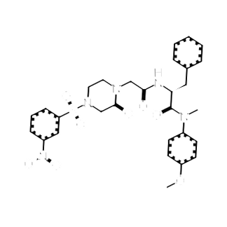 COc1ccc(N(C)C(=O)[C@H](Cc2ccccc2)NC(=O)CN2CCN(S(=O)(=O)c3cccc([N+](=O)[O-])c3)CC2=O)cc1